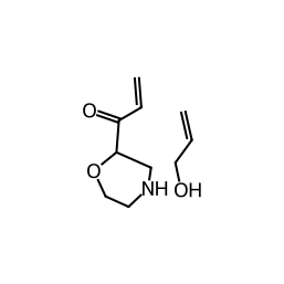 C=CC(=O)C1CNCCO1.C=CCO